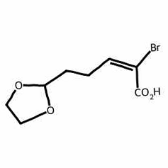 O=C(O)/C(Br)=C\CCC1OCCO1